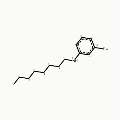 CCCCCCCCNc1cccc(F)c1